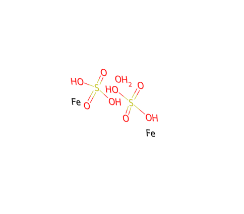 O.O=S(=O)(O)O.O=S(=O)(O)O.[Fe].[Fe]